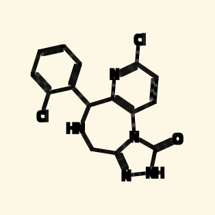 O=c1[nH]nc2n1-c1ccc(Cl)nc1C(c1ccccc1Cl)NC2